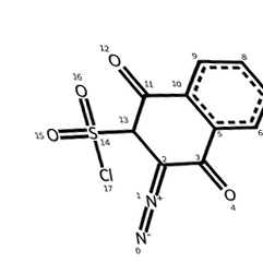 [N-]=[N+]=C1C(=O)c2ccccc2C(=O)C1S(=O)(=O)Cl